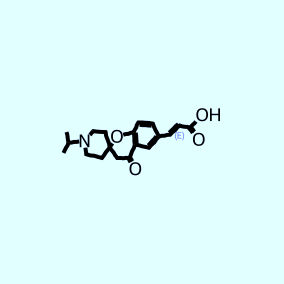 CC(C)N1CCC2(CC1)CC(=O)c1cc(/C=C/C(=O)O)ccc1O2